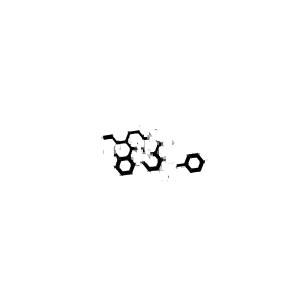 C=CCC1CCC2N(C)C(=O)c3c(OCc4ccccc4)c(=O)ccn3N2C1c1ccccc1Cl